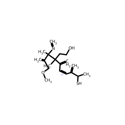 C=NC(C)(C(=C)COC)C(C)(CCO)C(=C)/C=C\C(=C)C(C)S